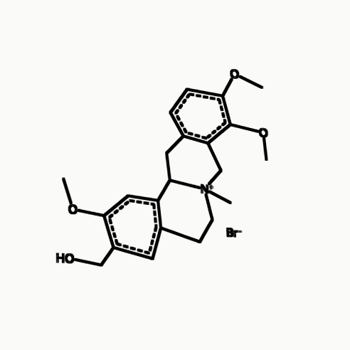 COc1cc2c(cc1CO)CC[N+]1(C)Cc3c(ccc(OC)c3OC)CC21.[Br-]